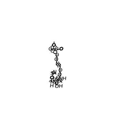 Cc1cc(C)c(C2=C(OCc3ccccc3)[C@]3(CC[C@H](OCCOCCN4CCN(CCOCCOCC(=O)N[C@H](C(=O)N5C[C@H](O)C[C@H]5C(=O)N[C@@H](C)c5ccc(-c6scnc6C)cc5)C(C)(C)C)CC4)CC3)OC2=O)c(C)c1